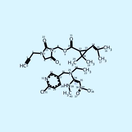 C#CCN1CC(=O)N(COC(=O)C2C(C=C(C)C)C2(C)C)C1=O.CCN(Cc1ccc(Cl)nc1)/C(=C/[N+](=O)[O-])NC